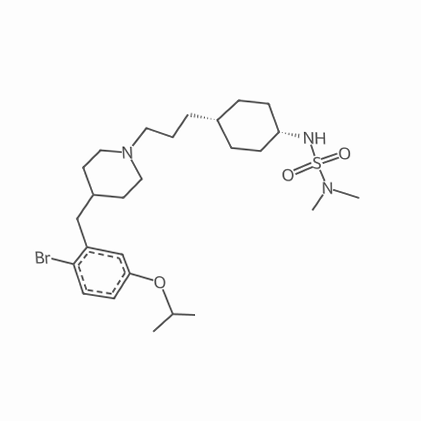 CC(C)Oc1ccc(Br)c(CC2CCN(CCC[C@H]3CC[C@@H](NS(=O)(=O)N(C)C)CC3)CC2)c1